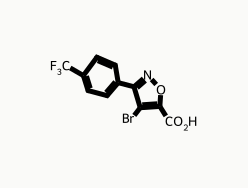 O=C(O)c1onc(-c2ccc(C(F)(F)F)cc2)c1Br